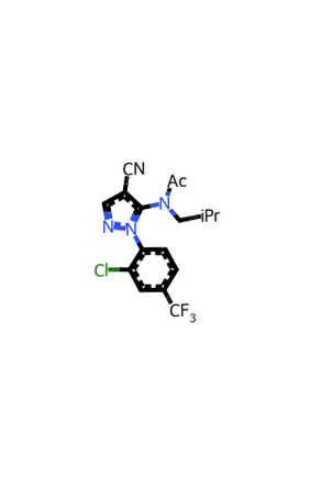 CC(=O)N(CC(C)C)c1c(C#N)cnn1-c1ccc(C(F)(F)F)cc1Cl